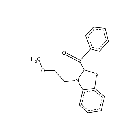 COCCN1c2ccccc2SC1C(=O)c1ccccc1